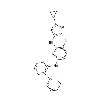 Brc1cnc(Nc2ccccc2-c2ccccc2)nc1Nc1cc(C2CC2)[nH]n1